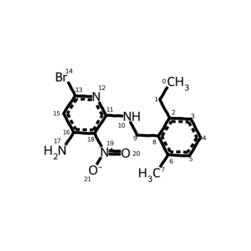 CCc1cccc(C)c1CNc1nc(Br)cc(N)c1[N+](=O)[O-]